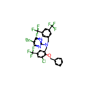 FC(F)(F)c1cc(CN(Cc2cc(C(F)(F)F)cc(Cl)c2OCc2ccccc2)c2ncc(Br)cn2)cc(C(F)(F)F)c1